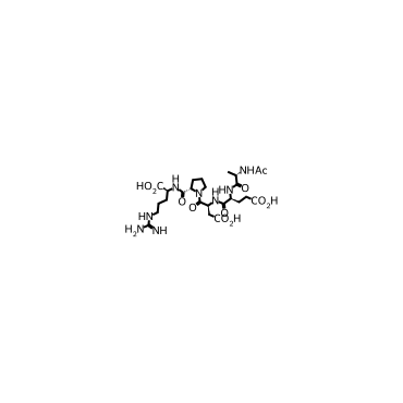 CC(=O)N[C@@H](C)C(=O)N[C@@H](CCC(=O)O)C(=O)N[C@@H](CC(=O)O)C(=O)N1CCC[C@H]1C(=O)N[C@@H](CCCNC(=N)N)C(=O)O